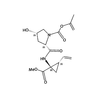 C=C[C@@H]1C[C@]1(NC(=O)[C@@H]1C[C@H](O)CN1C(=O)OC(=C)C)C(=O)OC